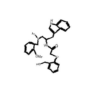 COc1ccccc1CN(CC(Cc1c[nH]c2ccccc12)NC(=O)COc1ccccc1CO)C(C)=O